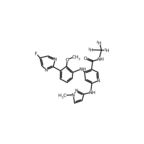 [2H]C([2H])([2H])NC(=O)c1cnc(Nc2ccn(C)n2)cc1Nc1cccc(-c2ncc(F)cn2)c1OC